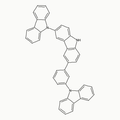 c1cc(-c2ccc3[nH]c4ccc(-n5c6ccccc6c6ccccc65)cc4c3c2)cc(-n2c3ccccc3c3ccccc32)c1